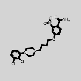 NC(=O)c1ccc(OCCCCN2CCN(c3cccc(Cl)c3Cl)CC2)cc1[N+](=O)[O-]